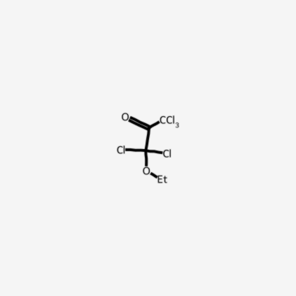 CCOC(Cl)(Cl)C(=O)C(Cl)(Cl)Cl